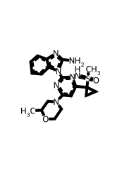 CC1CN(c2cc(C3(S(C)(=N)=O)CC3)nc(-n3c(N)nc4ccccc43)n2)CCO1